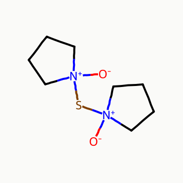 [O-][N+]1(S[N+]2([O-])CCCC2)CCCC1